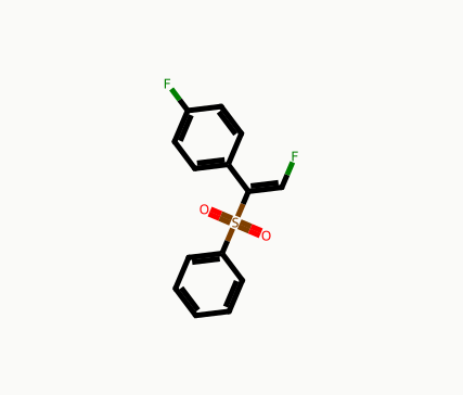 O=S(=O)(/C(=C/F)c1ccc(F)cc1)c1ccccc1